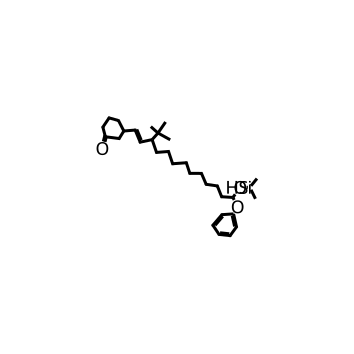 C[SiH](C)OC(CCCCCCCCCC(C=CC1CCCC(=O)C1)C(C)(C)C)Oc1ccccc1